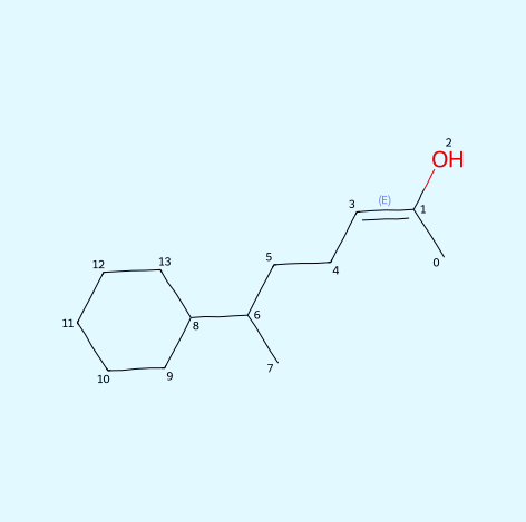 C/C(O)=C\CCC(C)C1CCCCC1